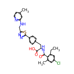 CCc1cc(Cl)cc(C)c1C(=O)NC(Cc1ccc(-c2nnc(CNc3cc(C)ccn3)s2)cc1)C(=O)O